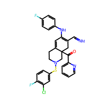 N=CC1=C(Nc2ccc(F)cc2)C=C2CCN(Sc3ccc(F)c(Cl)c3)CC2(C(=O)c2ccccn2)C1